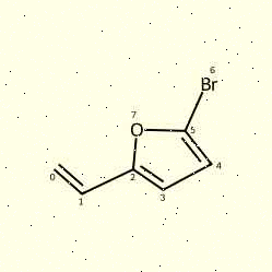 C=Cc1ccc(Br)o1